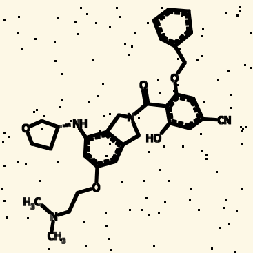 CN(C)CCOc1cc2c(c(N[C@@H]3CCOC3)c1)CN(C(=O)c1c(O)cc(C#N)cc1OCc1ccccc1)C2